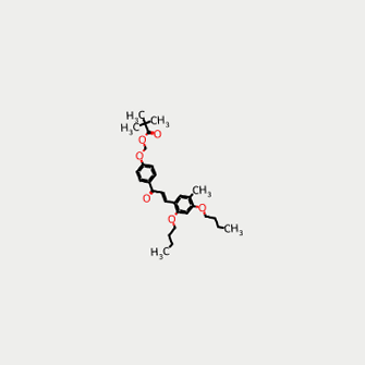 CCCCOc1cc(OCCCC)c(C=CC(=O)c2ccc(OCOC(=O)C(C)(C)C)cc2)cc1C